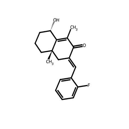 CC1=C2[C@@H](O)CCC[C@@]2(C)C/C(=C\c2ccccc2F)C1=O